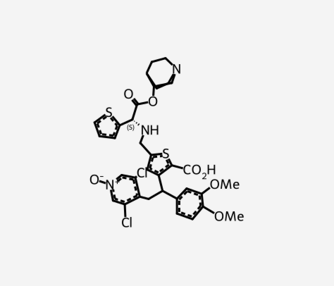 COc1ccc(C(Cc2c(Cl)c[n+]([O-])cc2Cl)c2cc(CN[C@@H](C(=O)OC3CN4CCC3CC4)c3cccs3)sc2C(=O)O)cc1OC